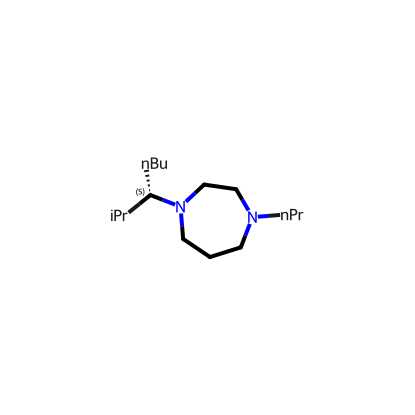 CCCC[C@@H](C(C)C)N1CCCN(CCC)CC1